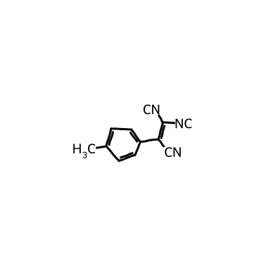 [C-]#[N+]C([N+]#[C-])=C(C#N)c1ccc(C)cc1